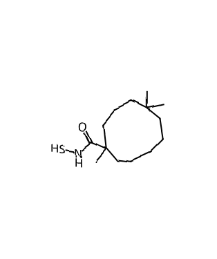 CC1(C)CCCCCC(C)(C(=O)NS)CCC1